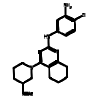 CC(=O)NC1CCCN(c2nc(Nc3ccc(Cl)c(N)c3)nc3c2CCCC3)C1